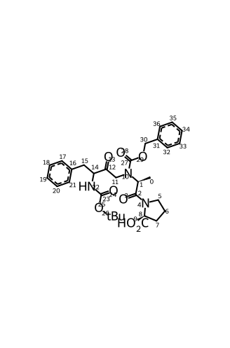 C[C@@H](C(=O)N1CCC[C@H]1C(=O)O)N(CC(=O)C(Cc1ccccc1)NC(=O)OC(C)(C)C)C(=O)OCc1ccccc1